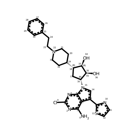 Nc1nc(Cl)nc2c1c(-c1nccs1)cn2[C@@H]1C[C@H](C2CCN(CCc3ccccc3)CC2)[C@@H](O)[C@H]1O